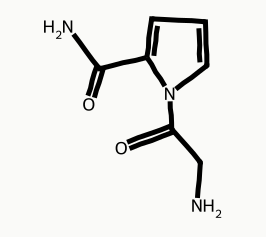 NCC(=O)n1cccc1C(N)=O